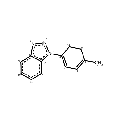 CC1=CC=C(n2nnc3ccccc32)CC1